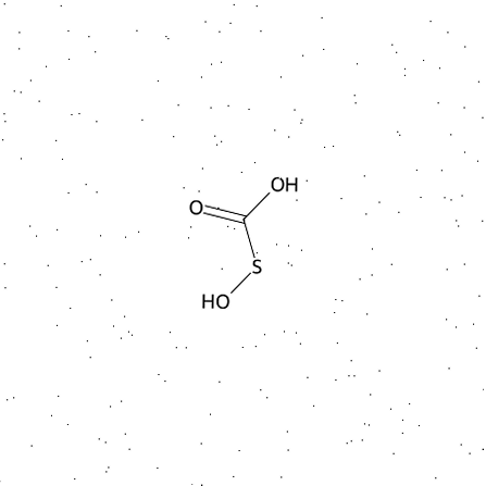 O=C(O)SO